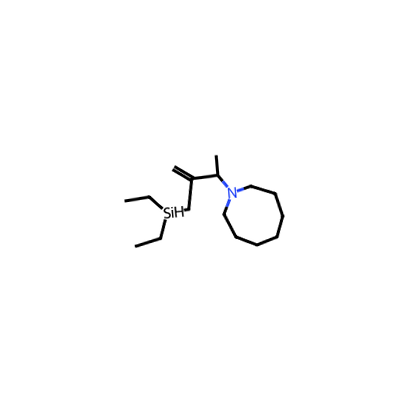 C=C(C[SiH](CC)CC)C(C)N1CCCCCCC1